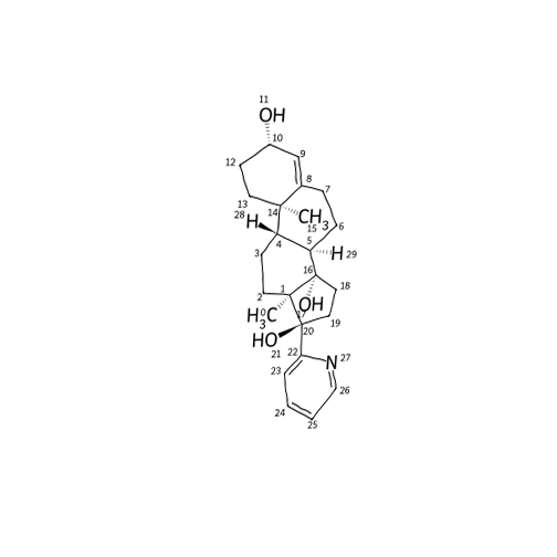 C[C@]12CC[C@H]3[C@@H](CCC4=C[C@@H](O)CC[C@@]43C)[C@@]1(O)CC[C@]2(O)c1ccccn1